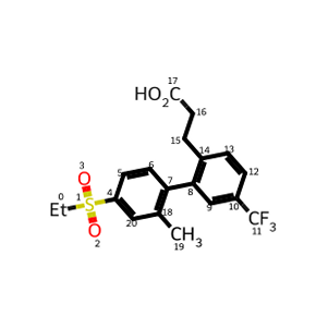 CCS(=O)(=O)c1ccc(-c2cc(C(F)(F)F)ccc2CCC(=O)O)c(C)c1